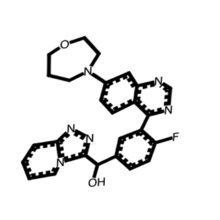 OC(c1ccc(F)c(-c2ncnc3cc(N4CCCOCC4)ccc23)c1)c1nnc2ccccn12